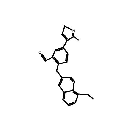 CCc1cccc2cc(Cc3ccc(C4=CCN=C4F)cc3C=O)ccc12